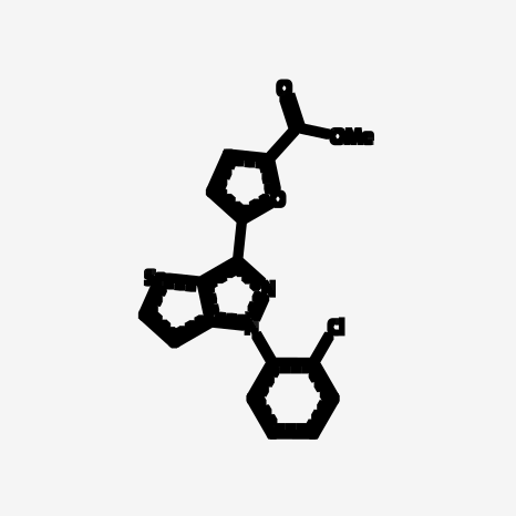 COC(=O)c1ccc(-c2nn(-c3ccccc3Cl)c3cc[se]c23)o1